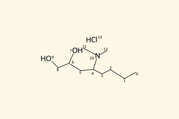 CCCCC(CC(O)CO)N(C)C.Cl